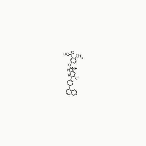 Cc1ccc(Oc2nc3nc(-c4ccc(-c5cccc6ccccc56)cc4)c(Cl)cc3[nH]2)cc1C(=O)O